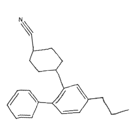 CCCc1ccc(-c2ccccc2)c(C2CCC(C#N)CC2)c1